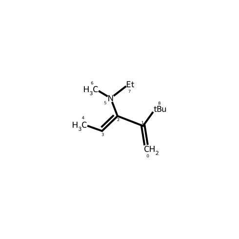 C=C(/C(=C/C)N(C)CC)C(C)(C)C